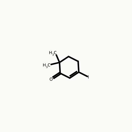 CC1(C)CCC(I)=CC1=O